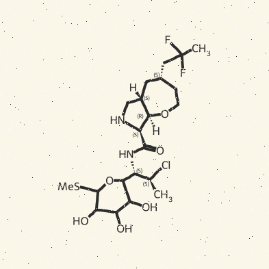 CSC1OC([C@H](NC(=O)[C@H]2NC[C@@H]3C[C@H](CC(C)(F)F)CCO[C@H]32)[C@H](C)Cl)C(O)C(O)C1O